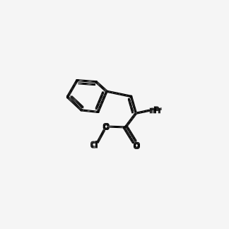 CCCC(=Cc1ccccc1)C(=O)OCl